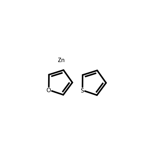 [Zn].c1ccoc1.c1ccsc1